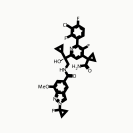 COc1cc(C(=O)NC[C@](O)(c2cc(C3(C(N)=O)CC3)c(F)c(-c3ccc(F)c(Cl)c3F)n2)C2CC2)cc2cn(C3(F)CC3)nc12